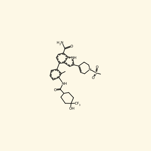 Cc1c(NC(=O)C2CCC(O)(C(F)(F)F)CC2)cccc1-c1ccc(C(N)=O)c2[nH]c(C3=CCN(S(C)(=O)=O)CC3)cc12